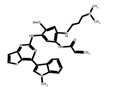 C=CC(=O)Nc1cc(Nc2nc(-c3cn(C)c4ccccc34)c3sccc3n2)c(OC)cc1NCCCN(C)C